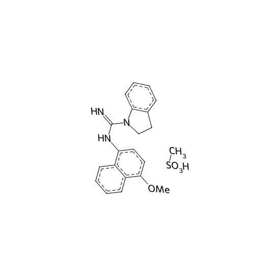 COc1ccc(NC(=N)N2CCc3ccccc32)c2ccccc12.CS(=O)(=O)O